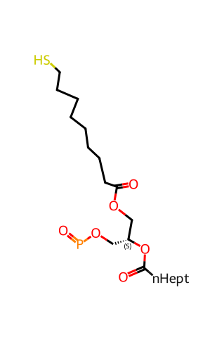 CCCCCCCC(=O)O[C@H](COP=O)COC(=O)CCCCCCCCS